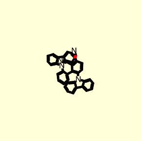 N#Cc1ccc(-n2c3ccccc3c3ccccc32)c(-c2ccccc2-n2c3ccccc3c3ccccc32)c1C#N